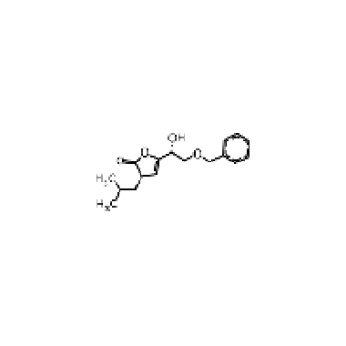 CC(C)C[C@@H]1C=C([C@H](O)COCc2ccccc2)OC1=O